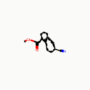 COC(=O)c1cccc2cc(C#N)ccc12